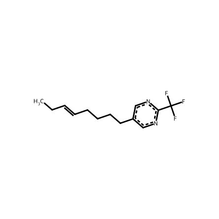 CCC=CCCCCc1cnc(C(F)(F)F)nc1